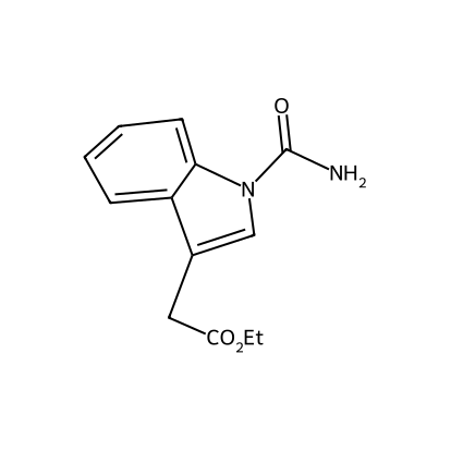 CCOC(=O)Cc1cn(C(N)=O)c2ccccc12